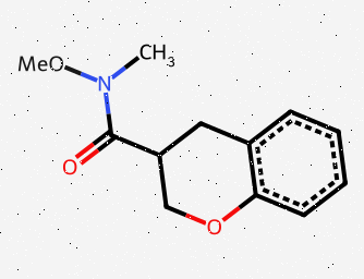 CON(C)C(=O)C1COc2ccccc2C1